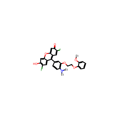 CCOc1ccccc1OCCOc1cc(-c2c3cc(F)c(=O)cc-3oc3cc(O)c(F)cc23)ccc1N(CC)CC